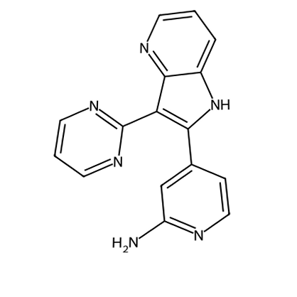 Nc1cc(-c2[nH]c3cccnc3c2-c2ncccn2)ccn1